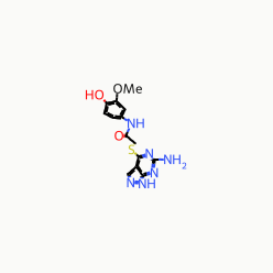 COc1cc(NC(=O)CSc2nc(N)nc3[nH]ncc23)ccc1O